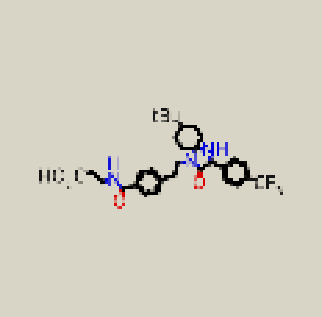 CC(C)(C)C1CCC2(CC1)NC(c1ccc(C(F)(F)F)cc1)C(=O)N2CCc1ccc(C(=O)NCCC(=O)O)cc1